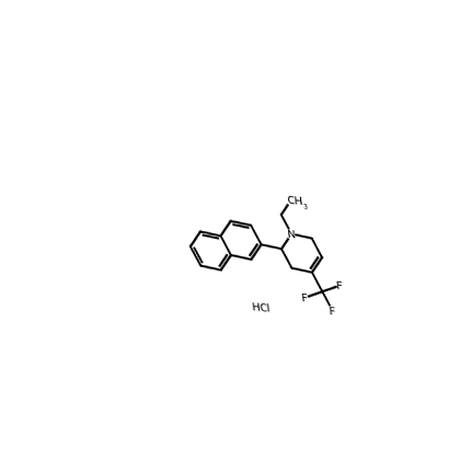 CCN1CC=C(C(F)(F)F)CC1c1ccc2ccccc2c1.Cl